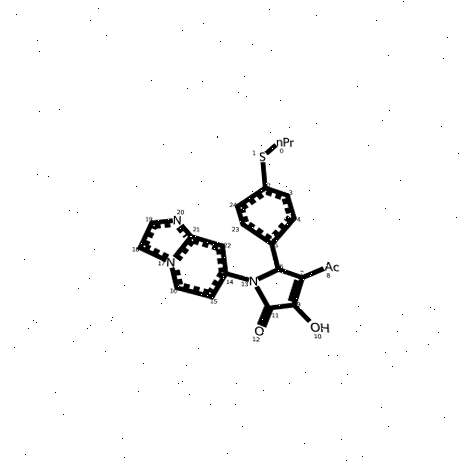 CCCSc1ccc(C2C(C(C)=O)=C(O)C(=O)N2c2ccn3ccnc3c2)cc1